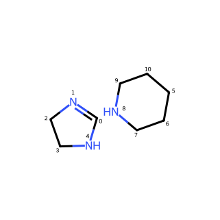 C1=NCCN1.C1CCNCC1